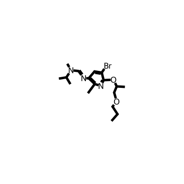 CCCOCC(C)Oc1nc(C)c(N=CN(C)C(C)C)cc1Br